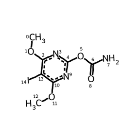 COc1nc(OC(N)=O)nc(OC)c1I